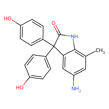 Cc1cc(N)cc2c1NC(=O)C2(c1ccc(O)cc1)c1ccc(O)cc1